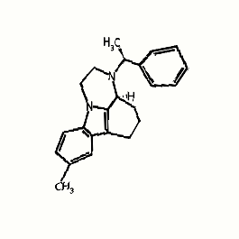 Cc1ccc2c(c1)c1c3n2CCN([C@@H](C)c2ccccc2)[C@H]3CCC1